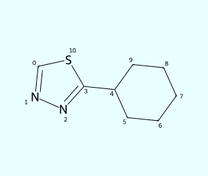 c1nnc(C2CCCCC2)s1